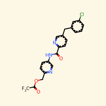 O=C(Nc1ccc(COC(=O)C(F)(F)F)nc1)c1ccc(Cc2cccc(Cl)c2)cn1